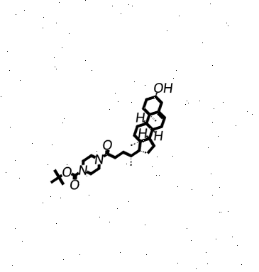 C[C@H](CCC(=O)N1CCN(C(=O)OC(C)(C)C)CC1)[C@H]1CC[C@H]2[C@@H]3CC=C4C[C@@H](O)CC[C@]4(C)[C@H]3CC[C@]12C